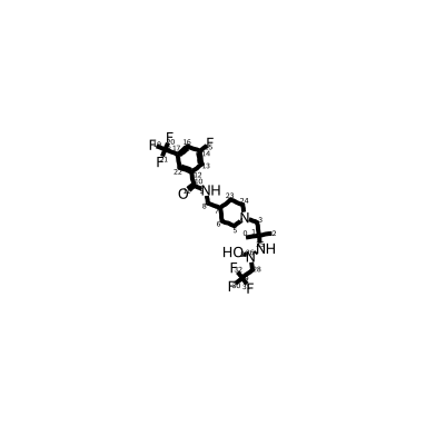 CC(C)(CN1CCC(CNC(=O)c2cc(F)cc(C(F)(F)F)c2)CC1)NN(O)CC(F)(F)F